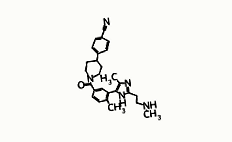 CNCCc1nc(C)c(-c2cc(C(=O)N3CCC(c4ccc(C#N)cc4)CC3)ccc2C)[nH]1